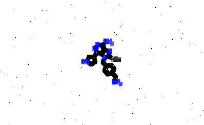 CCCCc1nc2c(N)nnc(C3CCNC3)c2n1Cc1ccc(CN)cc1